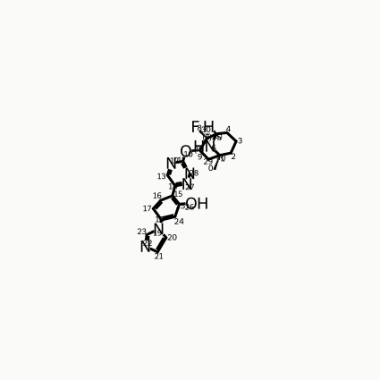 C[C@]12CCC[C@H](N1)[C@H](F)[C@H](Oc1ncc(-c3ccc(-n4ccnc4)cc3O)nn1)C2